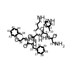 NCCCC[C@H](NC(=O)[C@H](Cc1c[nH]cn1)NC(=O)CN)C(=O)N[C@@H](Cc1ccccc1)C(=O)N[C@H]([C]=O)Cc1ccccc1